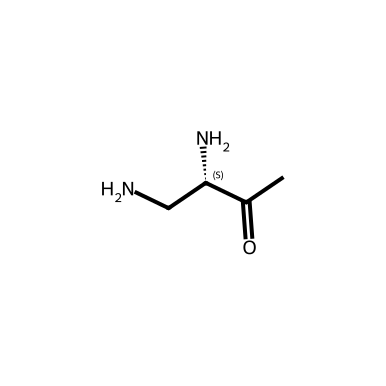 CC(=O)[C@@H](N)CN